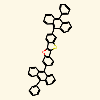 c1ccc(-c2c3ccccc3c(-c3ccc4c(c3)oc3c5ccc(-c6c7ccccc7c(-c7ccccc7)c7ccccc67)cc5sc43)c3ccccc23)cc1